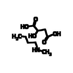 CCCCNC.O=C(O)CC(O)C(=O)O